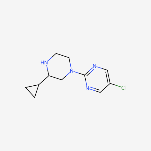 Clc1cnc(N2CCNC(C3CC3)C2)nc1